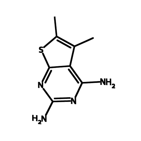 Cc1sc2nc(N)nc(N)c2c1C